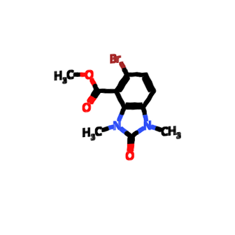 COC(=O)c1c(Br)ccc2c1n(C)c(=O)n2C